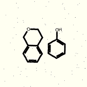 Oc1ccccc1.c1ccc2c(c1)CCOC2